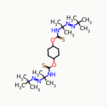 CC(C)(C)N=NC(C)(C)NC(=S)OC1CCC(OC(=S)NC(C)(C)N=NC(C)(C)C)CC1